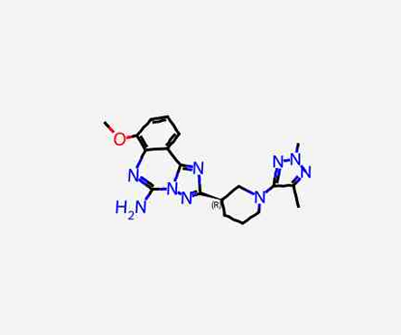 COc1cccc2c1nc(N)n1nc([C@@H]3CCCN(c4nn(C)nc4C)C3)nc21